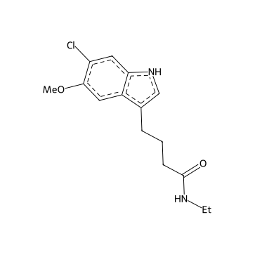 CCNC(=O)CCCc1c[nH]c2cc(Cl)c(OC)cc12